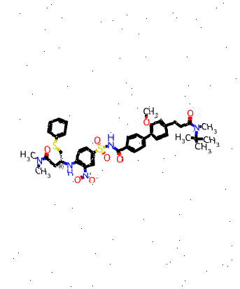 COc1cc(CCC(=O)N(C)C(C)(C)C)ccc1-c1ccc(C(=O)NS(=O)(=O)c2ccc(N[C@@H](CSc3ccccc3)CC(=O)N(C)C)c([N+](=O)[O-])c2)cc1